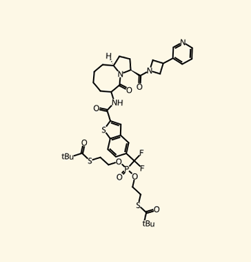 CC(C)(C)C(=O)SCCOP(=O)(OCCSC(=O)C(C)(C)C)C(F)(F)c1ccc2sc(C(=O)NC3CCCC[C@H]4CC[C@@H](C(=O)N5CC(c6cccnc6)C5)N4C3=O)cc2c1